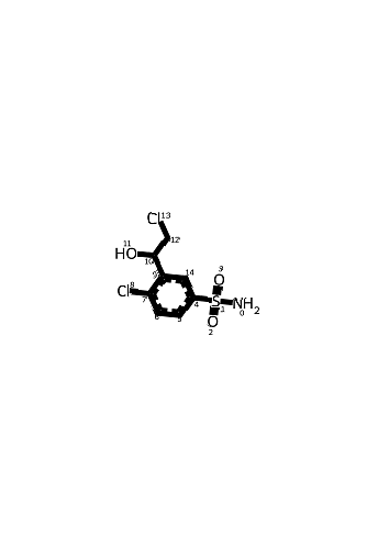 NS(=O)(=O)c1ccc(Cl)c(C(O)CCl)c1